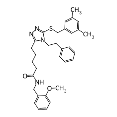 COc1ccccc1CNC(=O)CCCCc1nnc(SCc2cc(C)cc(C)c2)n1CCc1ccccc1